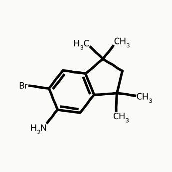 CC1(C)CC(C)(C)c2cc(Br)c(N)cc21